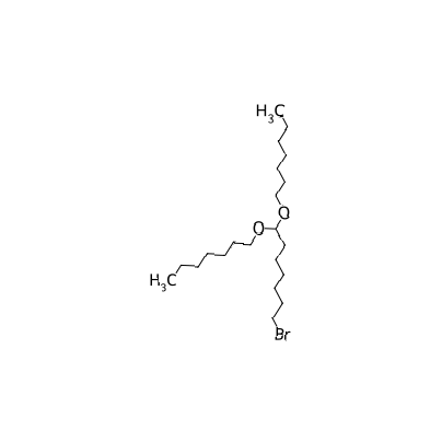 CCCCCCCOC(CCCCCCBr)OCCCCCCC